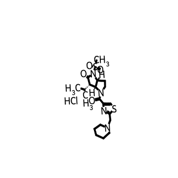 CC(C)[C@@H]1C(=O)N(S(C)(=O)=O)[C@@H]2CCN(C(=O)c3csc(CN4CCCCC4)n3)[C@H]21.Cl